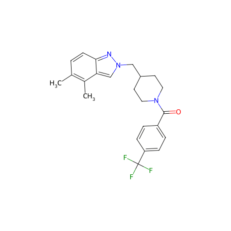 Cc1ccc2nn(CC3CCN(C(=O)c4ccc(C(F)(F)F)cc4)CC3)cc2c1C